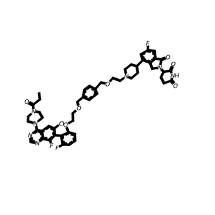 CCC(=O)N1CCN(c2ncnc3c(F)c(-c4c(F)cccc4OCCOCc4ccc(COCCN5CCC(c6cc(F)cc7c6CN(C6CCC(=O)NC6=O)C7=O)CC5)cc4)c(Cl)cc23)CC1